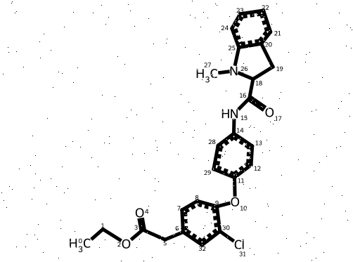 CCOC(=O)Cc1ccc(Oc2ccc(NC(=O)C3Cc4ccccc4N3C)cc2)c(Cl)c1